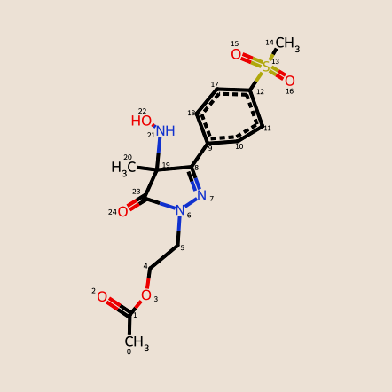 CC(=O)OCCN1N=C(c2ccc(S(C)(=O)=O)cc2)C(C)(NO)C1=O